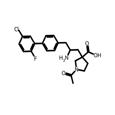 CC(=O)N1CCC(CC(N)Cc2ccc(-c3cc(Cl)ccc3F)cc2)(C(=O)O)C1